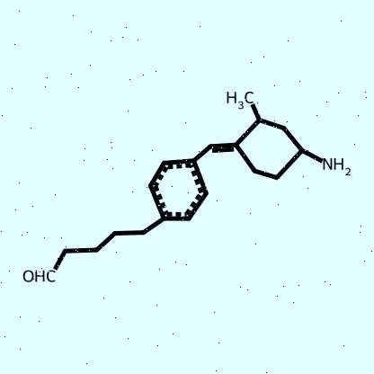 CC1CC(N)CCC1=Cc1ccc(CCCCC=O)cc1